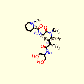 C/C(=C\[C@H](C(C)C)N(C)C(=O)[C@@H](NC(=O)[C@H]1CCCCN1C(C)C)C(C)C)C(=O)NC(CO)CO